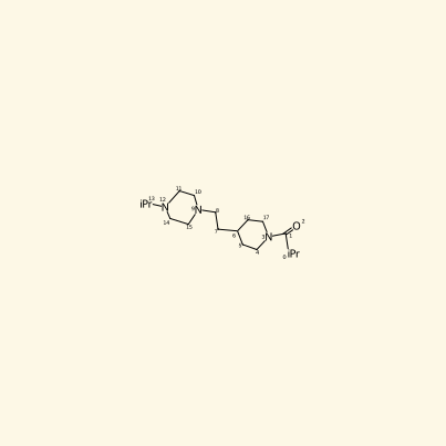 CC(C)C(=O)N1CCC(CCN2CCN(C(C)C)CC2)CC1